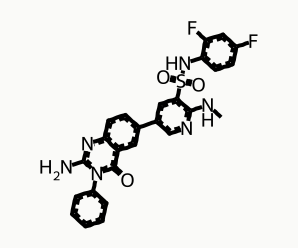 CNc1ncc(-c2ccc3nc(N)n(-c4ccccc4)c(=O)c3c2)cc1S(=O)(=O)Nc1ccc(F)cc1F